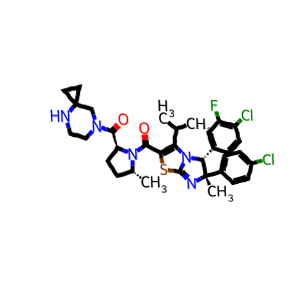 CC(C)C1=C(C(=O)N2[C@H](C)CC[C@H]2C(=O)N2CCNC3(CC3)C2)SC2=N[C@@](C)(c3ccc(Cl)cc3)[C@@H](c3ccc(Cl)c(F)c3)N21